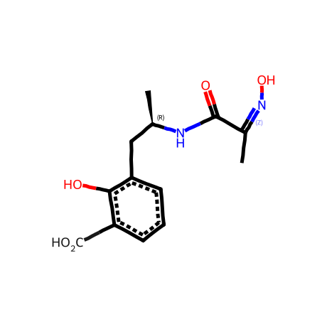 C/C(=N/O)C(=O)N[C@H](C)Cc1cccc(C(=O)O)c1O